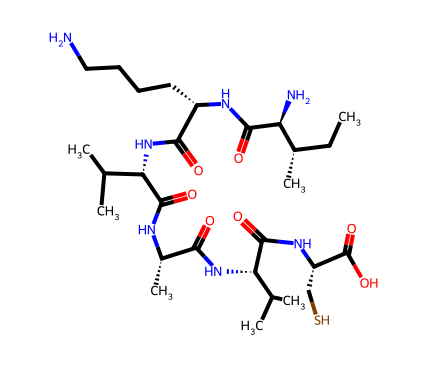 CC[C@H](C)[C@H](N)C(=O)N[C@@H](CCCCN)C(=O)N[C@H](C(=O)N[C@@H](C)C(=O)N[C@H](C(=O)N[C@@H](CS)C(=O)O)C(C)C)C(C)C